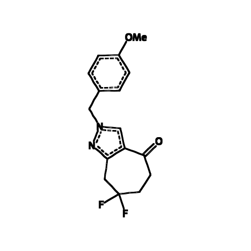 COc1ccc(Cn2cc3c(n2)CC(F)(F)CCC3=O)cc1